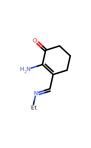 CC/N=C/C1=C(N)C(=O)CCC1